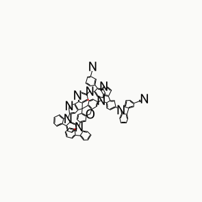 N#Cc1ccc2c(c1)c1ccccc1n2-c1cnc2c(c1)C1(c3ccc(-n4c5ccccc5c5ccccc54)cc3Oc3cc(-n4c5ccc(-n6c7ccccc7c7cc(C#N)ccc76)cc5c5ccncc54)ccc31)c1cc(-n3c4ccccc4c4ccccc43)cnc1-2